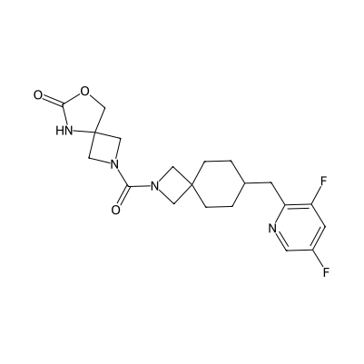 O=C1NC2(CO1)CN(C(=O)N1CC3(CCC(Cc4ncc(F)cc4F)CC3)C1)C2